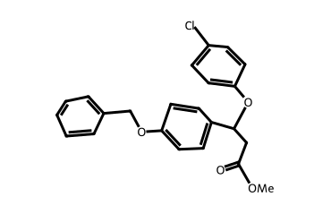 COC(=O)CC(Oc1ccc(Cl)cc1)c1ccc(OCc2ccccc2)cc1